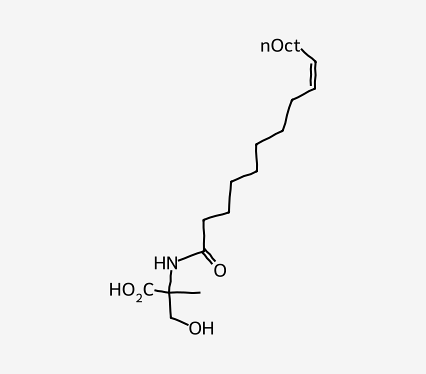 CCCCCCCC/C=C\CCCCCCCC(=O)NC(C)(CO)C(=O)O